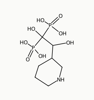 O=P(O)(O)C(O)(C(O)C1CCCNC1)P(=O)(O)O